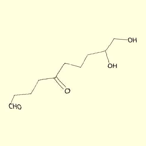 O=CCCCC(=O)CCCC(O)CO